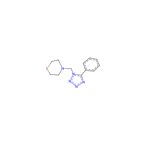 c1ccc(-c2nnnn2CN2CCSCC2)cc1